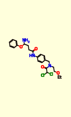 CCOCCN(Cc1ccc(NC(=O)CCC(N)Oc2ccccc2)cc1)C(=O)C(Cl)Cl